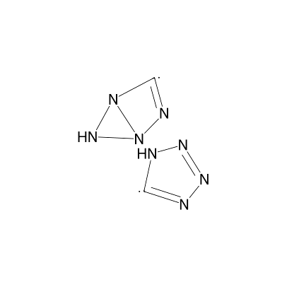 [c]1nn2[nH]n12.[c]1nnn[nH]1